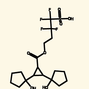 O=C(OCCC(F)(F)C(F)(F)S(=O)(=O)O)C1C(C2(O)CCCC2)C1C1(O)CCCC1